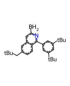 Bc1cc2cc(CC(C)(C)C)ccc2c(-c2cc(C(C)(C)C)cc(C(C)(C)C)c2)n1